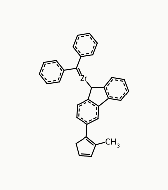 CC1=C(c2ccc3c(c2)-c2ccccc2[CH]3[Zr]=[C](c2ccccc2)c2ccccc2)CC=C1